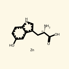 N[C@@H](Cc1c[nH]c2ccc(O)cc12)C(=O)O.[Zn]